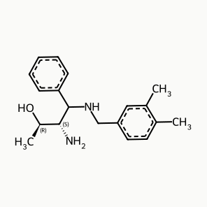 Cc1ccc(CNC(c2ccccc2)[C@H](N)[C@@H](C)O)cc1C